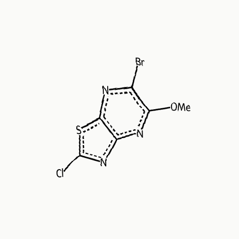 COc1nc2nc(Cl)sc2nc1Br